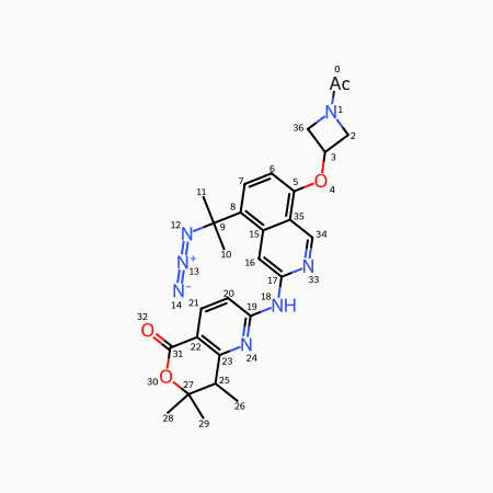 CC(=O)N1CC(Oc2ccc(C(C)(C)N=[N+]=[N-])c3cc(Nc4ccc5c(n4)C(C)C(C)(C)OC5=O)ncc23)C1